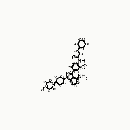 COc1cc(-c2nn(C3CCC(N4CCN(C)CC4)CC3)c3ncnc(N)c23)ccc1NC(=O)CCC1CCCCC1